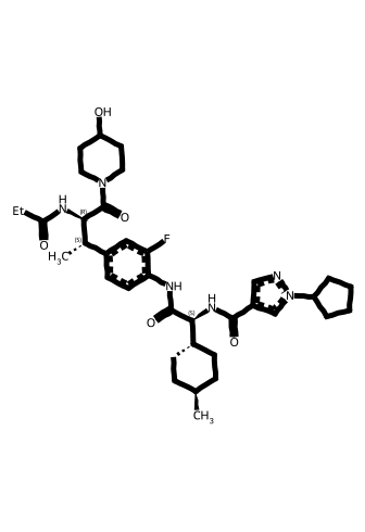 CCC(=O)N[C@@H](C(=O)N1CCC(O)CC1)[C@@H](C)c1ccc(NC(=O)[C@@H](NC(=O)c2cnn(C3CCCC3)c2)[C@H]2CC[C@H](C)CC2)c(F)c1